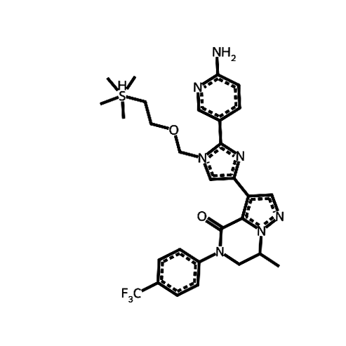 CC1CN(c2ccc(C(F)(F)F)cc2)C(=O)c2c(-c3cn(COCC[SH](C)(C)(C)C)c(-c4ccc(N)nc4)n3)cnn21